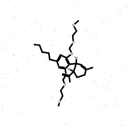 [2H]C1(C(=C)C)CCC(C)=CC1([2H])c1c(OCOCCOC)cc(CCCCC)cc1OCOCCOC